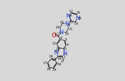 Cc1nc2ccc(C(=O)N3CCN(c4cnccn4)CC3)cc2nc1-c1ccccc1